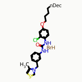 Br.CCCCCCCCCCCCCCOc1ccc(NC(=O)Nc2cccc(CN3CSC=C3C)c2)c(Cl)c1